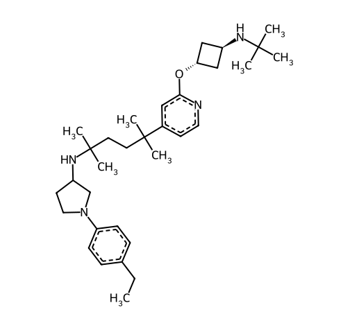 CCc1ccc(N2CCC(NC(C)(C)CCC(C)(C)c3ccnc(O[C@H]4C[C@H](NC(C)(C)C)C4)c3)C2)cc1